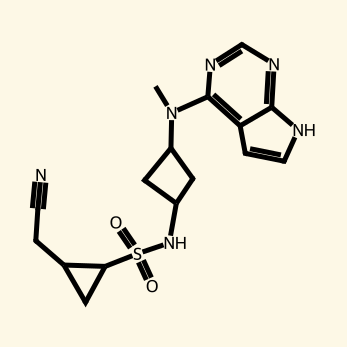 CN(c1ncnc2[nH]ccc12)C1CC(NS(=O)(=O)C2CC2CC#N)C1